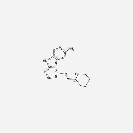 Nc1cc2c(cn1)[nH]c1nccc(OC[C@@H]3CCCCN3)c12